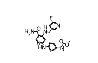 COC(=O)N(C)c1ccc(Nc2cc(NCc3cncc(F)c3)c(C(N)=O)cn2)cc1